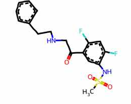 CS(=O)(=O)Nc1cc(C(=O)CNCCc2ccccc2)c(F)cc1F